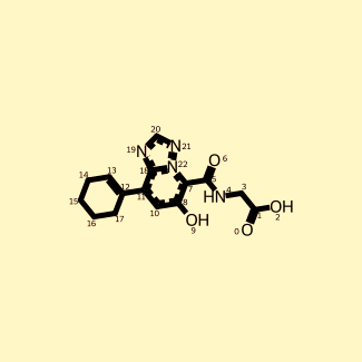 O=C(O)CNC(=O)c1c(O)cc(C2=CCCCC2)c2ncnn12